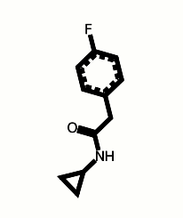 O=C(Cc1ccc(F)cc1)NC1CC1